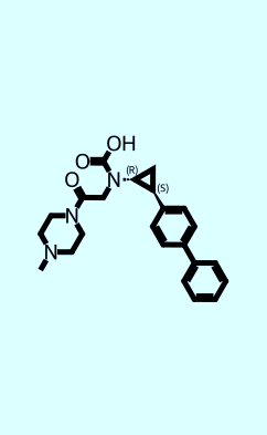 CN1CCN(C(=O)CN(C(=O)O)[C@@H]2C[C@H]2c2ccc(-c3ccccc3)cc2)CC1